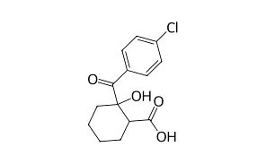 O=C(O)C1CCCCC1(O)C(=O)c1ccc(Cl)cc1